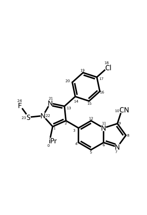 CC(C)c1c(-c2ccc3ncc(C#N)n3c2)c(-c2ccc(Cl)cc2)nn1SF